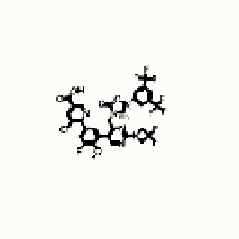 COc1c(F)cc(-c2ncc(C(=O)O)cc2Cl)cc1-c1cnc(N2CC(F)(F)C2)nc1CN1C(=O)O[C@H](c2cc(C(F)(F)F)cc(C(F)(F)F)c2)[C@@H]1C